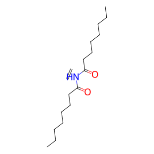 C=C.CCCCCCCC(=O)NC(=O)CCCCCCC